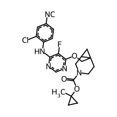 [C-]#[N+]c1ccc(Nc2ncnc(OCC34CCN(C(=O)OC5(C)CC5)CC3C4)c2F)c(Cl)c1